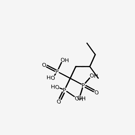 CCC(C)CC(P(=O)(O)O)(P(=O)(O)O)P(=O)(O)O